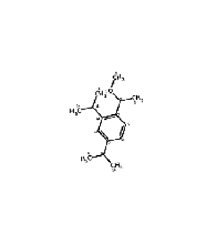 COC(C)c1ccc(C(C)C)cc1C(C)C